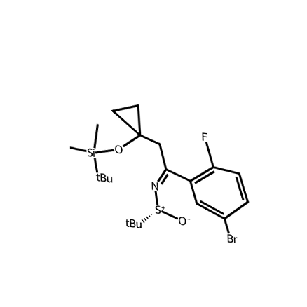 CC(C)(C)[S@@+]([O-])/N=C(/CC1(O[Si](C)(C)C(C)(C)C)CC1)c1cc(Br)ccc1F